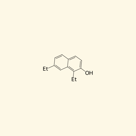 CCc1ccc2ccc(O)c(CC)c2c1